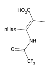 CCCCCC/C(NC(=O)C(F)(F)F)=C(/C)C(=O)O